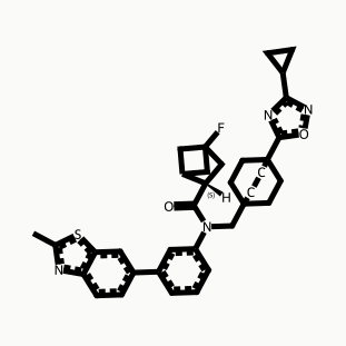 Cc1nc2ccc(-c3cccc(N(CC45CCC(c6nc(C7CC7)no6)(CC4)CC5)C(=O)[C@H]4CC5(F)CC4C5)c3)cc2s1